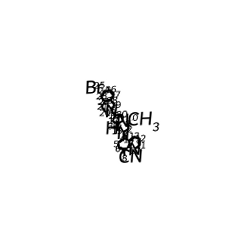 C[C@@H]1CN(c2ccc(C#N)c3ncccc23)C[C@@H]2CC(N3CCc4cc(Br)ccc4C3)CN21